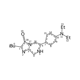 CCC(C)c1nc2c[nH]c(-c3ccc(N(CC)CC)cc3)cn-2c1=O